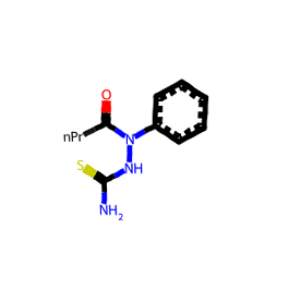 CCCC(=O)N(NC(N)=S)c1ccccc1